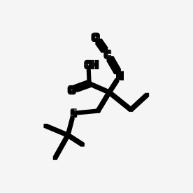 CCC(CSC(C)(C)C)(N=C=O)C(=O)O